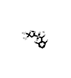 CC1(C)CC(S(=O)(=O)C(F)c2c(F)cccc2F)=NO1.[N]